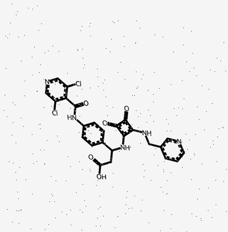 O=C(O)CC(Nc1c(NCc2cccnc2)c(=O)c1=O)c1ccc(NC(=O)c2c(Cl)cncc2Cl)cc1